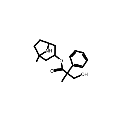 CC12CCC(CC(OC(=O)C(C)(CO)c3ccccc3)C1)N2